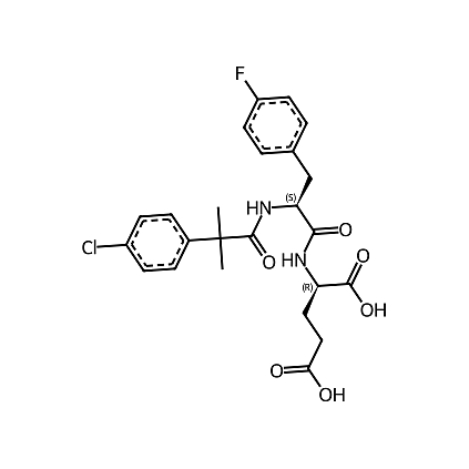 CC(C)(C(=O)N[C@@H](Cc1ccc(F)cc1)C(=O)N[C@H](CCC(=O)O)C(=O)O)c1ccc(Cl)cc1